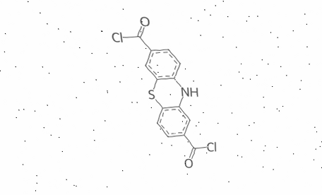 O=C(Cl)c1ccc2c(c1)Nc1ccc(C(=O)Cl)cc1S2